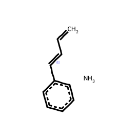 C=C/C=C/c1ccccc1.N